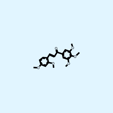 COc1ccc(C=CC(=O)c2cc(OC)c(OC)c(OC)c2)c(OC)c1